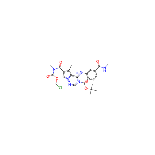 CNC(=O)c1ccc(C)c(/N=c2/c3c(C)c(C(=O)N(C)C(=O)OCCl)cn3ncn2C(=O)OC(C)(C)C)c1